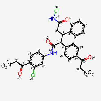 O=C(CC(c1ccccc1)C(C(=O)Nc1ccc(C(=O)C[N+](=O)[O-])c(Cl)c1)c1ccc(C(=O)C[N+](=O)[O-])cc1)NCl